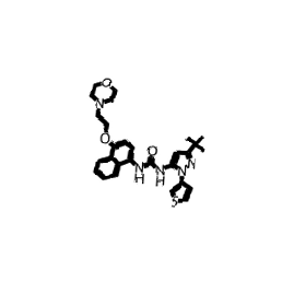 CC(C)(C)c1cc(NC(=O)Nc2ccc(OCCN3CCOCC3)c3ccccc23)n(-c2ccsc2)n1